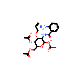 C=CCO[C@@H]1C(NC(=O)c2ccccc2N)C(OC(C)=O)OC(COC(C)=O)[C@@H]1OC(C)=O